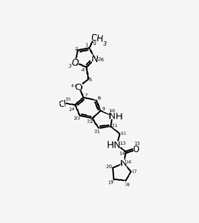 Cc1coc(COc2cc3[nH]c(CNC(=O)N4CCCC4)cc3cc2Cl)n1